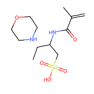 C1COCCN1.C=C(C)C(=O)NC(CC)CS(=O)(=O)O